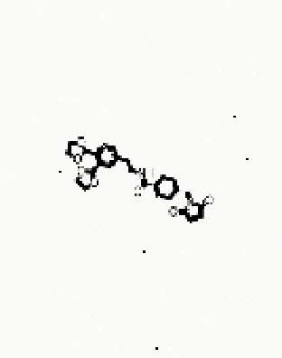 O=C1C=CC(=O)N1C[C@H]1CC[C@H](C(=O)NCCc2ccc(C3OCCO3)c(C3OCCO3)c2)CC1